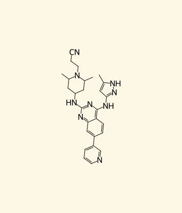 Cc1cc(Nc2nc(NC3CC(C)N(CCC#N)C(C)C3)nc3cc(-c4cccnc4)ccc23)n[nH]1